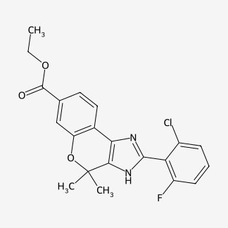 CCOC(=O)c1ccc2c(c1)OC(C)(C)c1[nH]c(-c3c(F)cccc3Cl)nc1-2